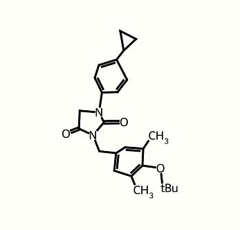 Cc1cc(CN2C(=O)CN(c3ccc(C4CC4)cc3)C2=O)cc(C)c1OC(C)(C)C